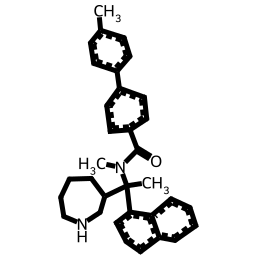 Cc1ccc(-c2ccc(C(=O)N(C)C(C)(c3cccc4ccccc34)C3CCCCNC3)cc2)cc1